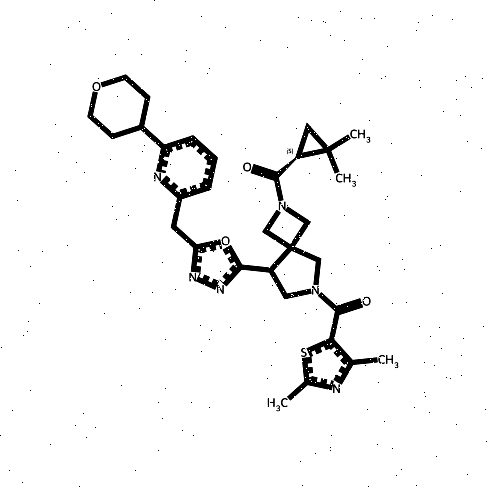 Cc1nc(C)c(C(=O)N2CC(c3nnc(Cc4cccc(C5CCOCC5)n4)o3)C3(C2)CN(C(=O)[C@H]2CC2(C)C)C3)s1